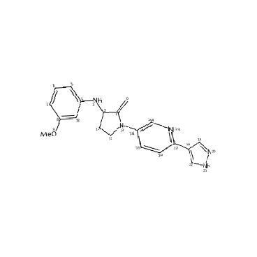 C=C1C(Nc2cccc(OC)c2)CCN1c1ccc(-c2cn[nH]c2)nc1